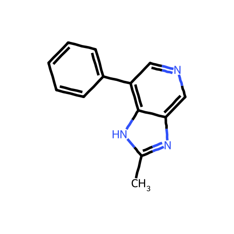 Cc1nc2cncc(-c3ccccc3)c2[nH]1